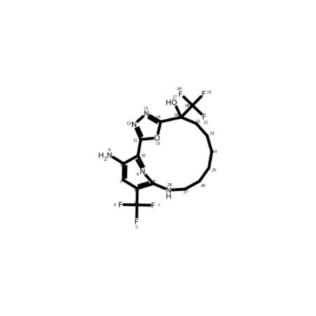 Nc1cc(C(F)(F)F)c2nc1-c1nnc(o1)C(O)(C(F)(F)F)CCCCCCN2